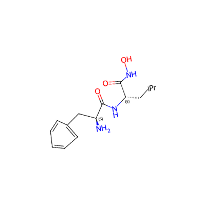 CC(C)C[C@H](NC(=O)[C@@H](N)Cc1ccccc1)C(=O)NO